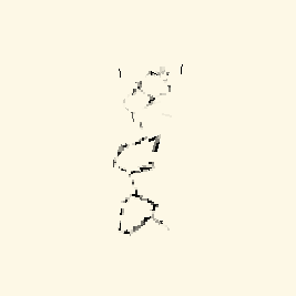 Cc1cccc(-c2ccc(N3C[C@H]4CNC[C@H]43)cn2)c1